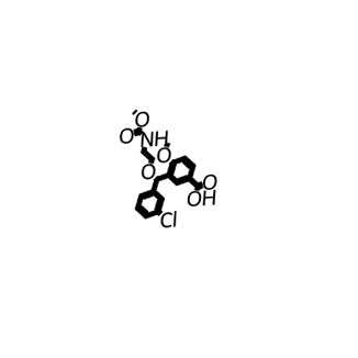 COC(=O)NCCOC(c1cccc(Cl)c1)c1cc(C(=O)O)ccc1OC